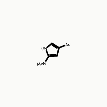 CNc1cc(C(C)=O)c[nH]1